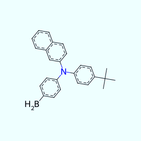 Bc1ccc(N(c2ccc(C(C)(C)C)cc2)c2ccc3ccccc3c2)cc1